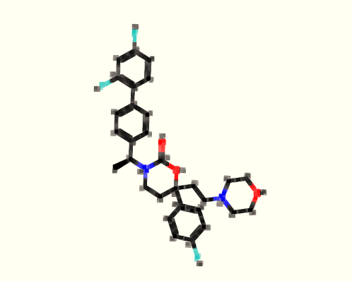 C[C@@H](c1ccc(-c2ccc(F)cc2F)cc1)N1CCC(CCN2CCOCC2)(c2ccc(F)cc2)OC1=O